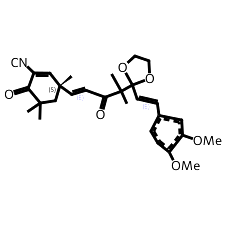 [C-]#[N+]C1=C[C@](C)(/C=C/C(=O)C(C)(C)C2(/C=C/c3ccc(OC)c(OC)c3)OCCO2)CC(C)(C)C1=O